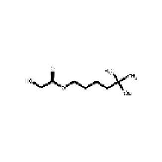 CC(C)(C)C(C)(C)CCCCOC(=O)CO